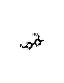 Cc1cnc(-c2cnc(CF)nc2)cc1CO